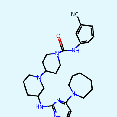 N#Cc1cccc(NC(=O)N2CCC(N3CCCC(Nc4nccc(N5CCCCCC5)n4)C3)CC2)c1